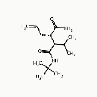 C=CC[C@H](C(N)=O)C(C(=O)NC(C)(C)C)C(C)C